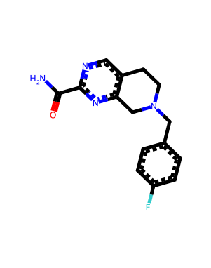 NC(=O)c1n[c]c2c(n1)CN(Cc1ccc(F)cc1)CC2